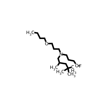 CCCCOCCCN(CCCOF)CC(C)CC(C)(C)C